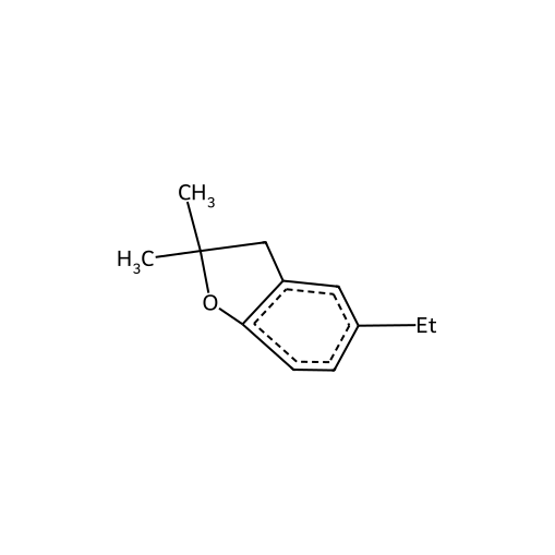 CCc1ccc2c(c1)CC(C)(C)O2